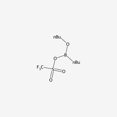 CCCCOB(CCCC)OS(=O)(=O)C(F)(F)F